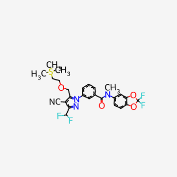 CN(C(=O)c1cccc(-n2nc(C(F)F)c(C#N)c2COCCS(C)(C)C)c1)c1ccc2c(c1)OC(F)(F)O2